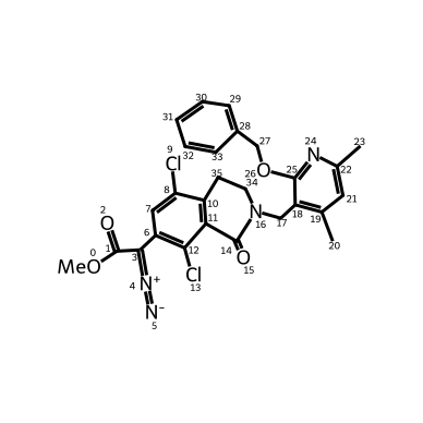 COC(=O)C(=[N+]=[N-])c1cc(Cl)c2c(c1Cl)C(=O)N(Cc1c(C)cc(C)nc1OCc1ccccc1)CC2